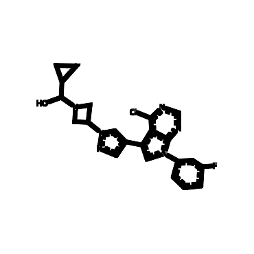 OC(C1CC1)N1CC(n2cc(-c3cn(-c4cccc(F)c4)c4ncnc(Cl)c34)cn2)C1